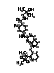 CN(c1ncccc1Cn1ccc2cnc(Nc3ccc(C(=O)NCC(C)(C)O)c(F)c3)nc21)S(C)(=O)=O